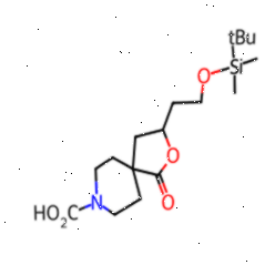 CC(C)(C)[Si](C)(C)OCCC1CC2(CCN(C(=O)O)CC2)C(=O)O1